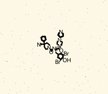 N#CC1(c2ccccc2)CCN(C(=O)N[C@H](Cc2cc(Br)c(O)c(Br)c2)C(=O)N2CCN(c3ccncc3)CC2)CC1